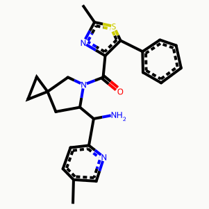 Cc1ccc(C(N)C2CC3(CC3)CN2C(=O)c2nc(C)sc2-c2ccccc2)nc1